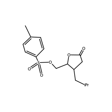 Cc1ccc(S(=O)(=O)OCC2OC(=O)CC2CC(C)C)cc1